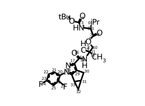 CC(C)[C@H](NC(=O)OC(C)(C)C)C(=O)OCC(C)(C)NC(=O)c1nn(-c2ccc(F)cc2F)c2c1CC1CC21